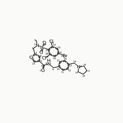 CN(Cc1cc(C(=O)NCc2ccc(CN3CCCC3)cc2)co1)S(=O)(=O)c1c(Cl)cc(Br)cc1Cl